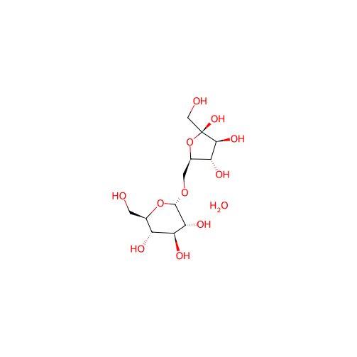 O.OC[C@H]1O[C@H](OC[C@H]2O[C@](O)(CO)[C@@H](O)[C@@H]2O)[C@H](O)[C@@H](O)[C@@H]1O